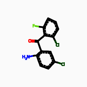 Nc1ccc(Cl)cc1C(=O)c1c(F)cccc1Cl